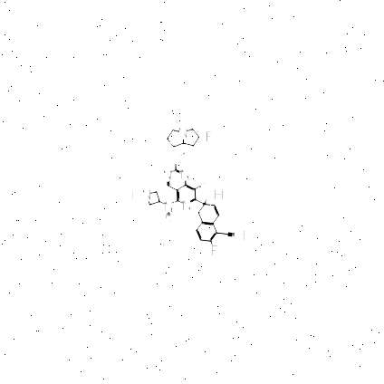 C#Cc1c(F)ccc2c1C=CC(O)(c1nc(N(C)C3CNC3)c3cnc(OC[C@@]45CCCN4C[C@H](F)C5)nc3c1F)C2